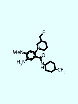 CNc1cc(N2CCCC(CF)C2)c(C(=O)N[C@H]2CC[C@H](C(F)(F)F)CC2)cc1N